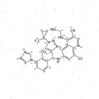 Cc1c(C(Nc2cc(Cl)c3ncc(C#N)c(NCC(C)(C)C)c3c2)c2cn(C3(C(F)(F)F)CC3)nn2)cccc1-n1cnnc1